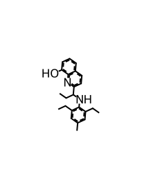 CCc1cc(C)cc(CC)c1NC(CC)c1ccc2cccc(O)c2n1